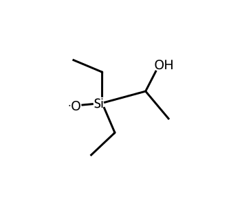 CC[Si]([O])(CC)C(C)O